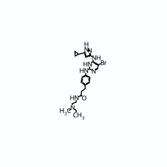 CCN(C)CCNC(=O)CCc1ccc(NC2N=CC(Br)=C(Nc3cc(C4CC4)[nH]n3)N2)cc1